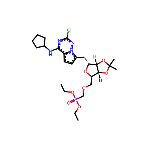 CCOP(=O)(COC[C@H]1O[C@H](Cc2ccc3c(NC4CCCC4)nc(Cl)nn23)[C@@H]2OC(C)(C)O[C@@H]21)OCC